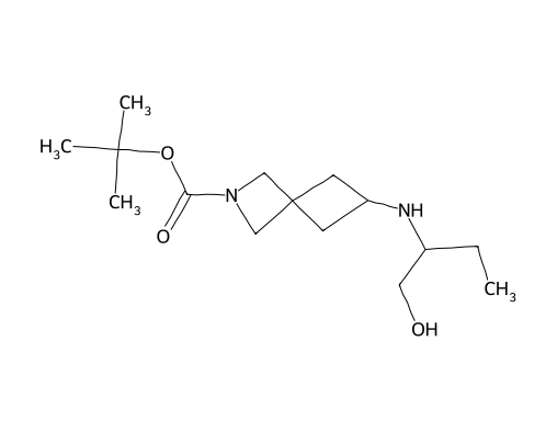 CCC(CO)NC1CC2(C1)CN(C(=O)OC(C)(C)C)C2